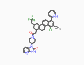 Cc1cc(C2=CC=CC=CN2)c2ccc3c(c2c1Cl)CCC1=C3CC(CC(F)(F)F)CC1CC(=O)N1CCC(n2c(=O)[nH]c3ncccc32)CC1